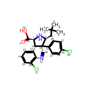 CC(C)(C)C[C@@H]1N[C@H](C(=O)O)[C@@H](c2cccc(Cl)c2)[C@]1(C#N)c1ccc(Cl)cc1